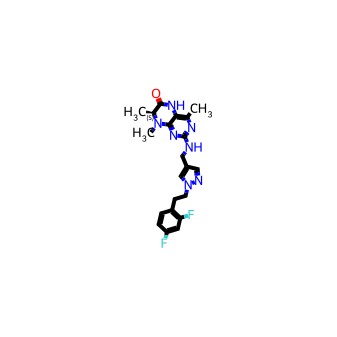 Cc1nc(NCc2cnn(CCc3ccc(F)cc3F)c2)nc2c1NC(=O)[C@H](C)N2C